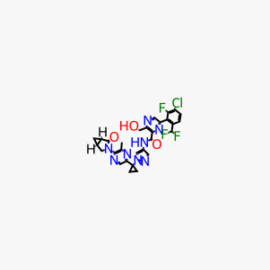 Cc1nc(C2(n3cc(NC(=O)c4nc(-c5c(C(F)F)ccc(Cl)c5F)cnc4CO)cn3)CC2)cnc1N1C[C@H]2C[C@H]2C1=O